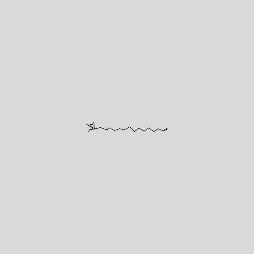 C=CCCCCCCCCCCCCCC[Si](C)(C)C